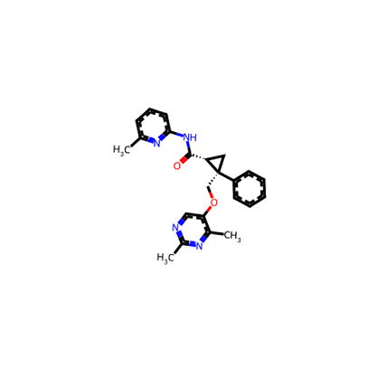 Cc1cccc(NC(=O)[C@@H]2C[C@@]2(COc2cnc(C)nc2C)c2ccccc2)n1